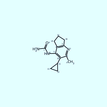 Cc1nc2c(c(NC(N)=O)c1C1CC1)CCC2